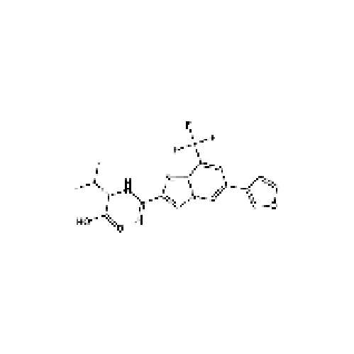 CC(C)C(NC(=O)c1cn2cc(-c3ccoc3)cc(C(F)(F)F)c2n1)C(=O)O